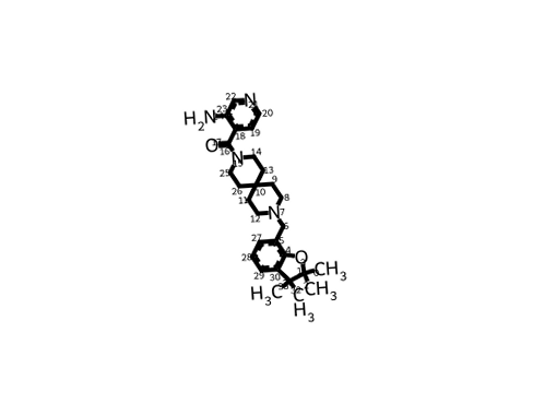 CC1(C)Oc2c(CN3CCC4(CC3)CCN(C(=O)c3ccncc3N)CC4)cccc2C1(C)C